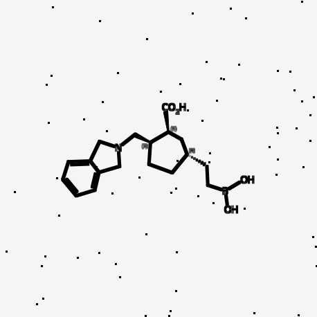 O=C(O)[C@H]1C[C@H](CCB(O)O)CC[C@H]1CN1Cc2ccccc2C1